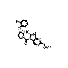 COCc1ncc2c(n1)N(C)C(C=O)N2C(=O)N1CC[C@H](Oc2ccccc2F)C1